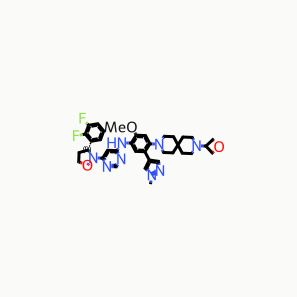 COc1cc(N2CCC3(CC2)CCN(C2COC2)CC3)c(-c2cnn(C)c2)cc1Nc1cc(N2OCC[C@@H]2c2cccc(F)c2F)ncn1